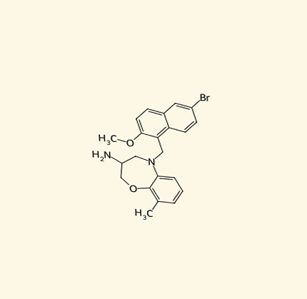 COc1ccc2cc(Br)ccc2c1CN1CC(N)COc2c(C)cccc21